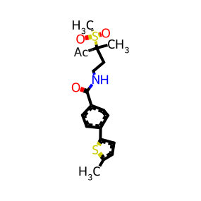 CC(=O)C(C)(CCNC(=O)c1ccc(-c2ccc(C)s2)cc1)S(C)(=O)=O